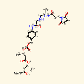 CNC(=O)C[C@H](OC(=O)C[C@H](OC(=O)OCc1ccc(NC(=O)CNCC(NC(=O)CCN2C(=O)C=CC2=O)C(C)C)cc1)C(C)C)C(C)C